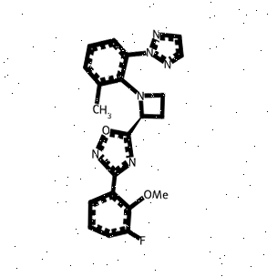 COc1c(F)cccc1-c1noc([C@@H]2CCN2c2c(-n3nccn3)[c]ccc2C)n1